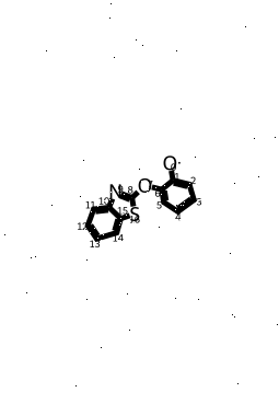 [O]c1ccccc1Oc1nc2ccccc2s1